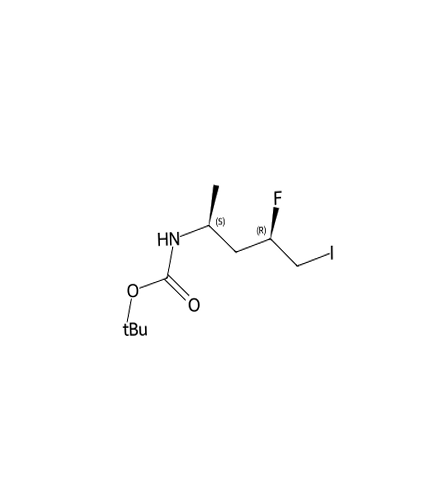 C[C@@H](C[C@@H](F)CI)NC(=O)OC(C)(C)C